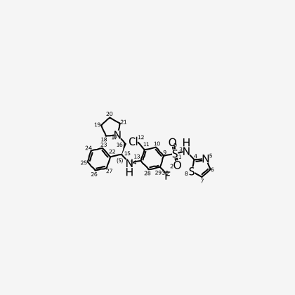 O=S(=O)(Nc1nccs1)c1cc(Cl)c(N[C@H](CN2CCCC2)c2ccccc2)cc1F